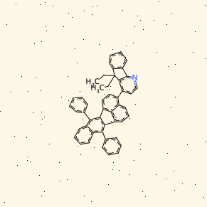 CCC1(CC)c2ccccc2-c2nccc(-c3ccc4c5c(cccc35)-c3c-4c(-c4ccccc4)c4ccccc4c3-c3ccccc3)c21